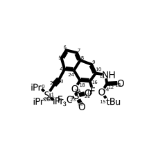 CC(C)[Si](C#Cc1cccc2cc(NC(=O)OC(C)(C)C)c(F)c(OS(=O)(=O)C(F)(F)F)c12)(C(C)C)C(C)C